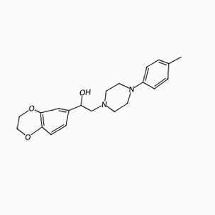 Cc1ccc(N2CCN(CC(O)c3ccc4c(c3)OCCO4)CC2)cc1